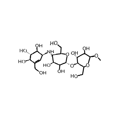 COC1OC(CO)[C@@H](O[C@H]2OC(CO)[C@@H](N[C@H]3C=C(CO)[C@@H](O)[C@H](O)[C@H]3O)[C@H](O)C2O)[C@H](O)C1O